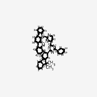 CC1(C)c2ccccc2-c2ccc(-c3nc(-c4ccccc4)nc(-c4ccnc(-n5c6ccccc6c6ccc7c8ccccc8oc7c65)n4)n3)cc21